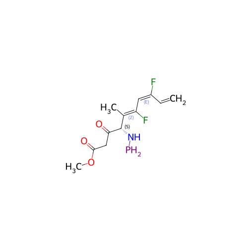 C=C/C(F)=C\C(F)=C(/C)[C@H](NP)C(=O)CC(=O)OC